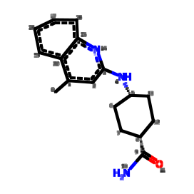 Cc1cc(N[C@H]2CC[C@@H](C(N)=O)CC2)nc2ccccc12